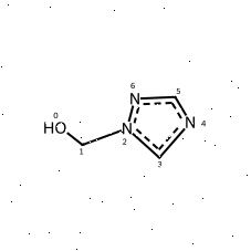 OCn1cncn1